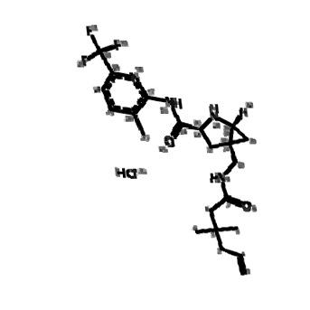 C=CCC(C)(C)CC(=O)NC[C@@]12C[C@@H](C(=O)Nc3nc(C(F)(F)F)ccc3C)N[C@@H]1C2.Cl